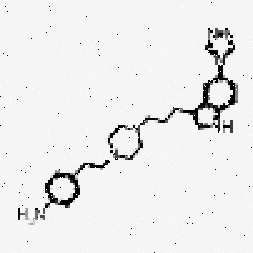 Nc1ccc(CCN2CCN(CCCc3c[nH]c4ccc(-n5cnnc5)cc34)CC2)cc1